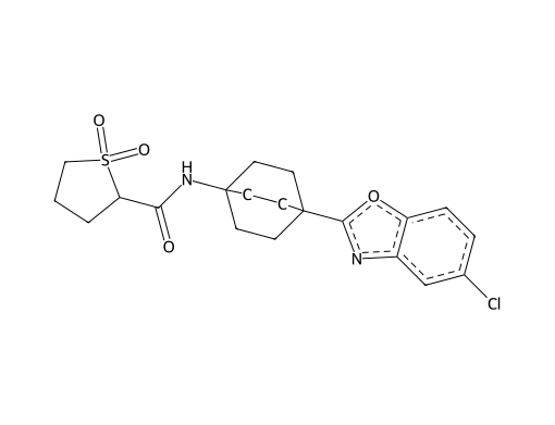 O=C(NC12CCC(c3nc4cc(Cl)ccc4o3)(CC1)CC2)C1CCCS1(=O)=O